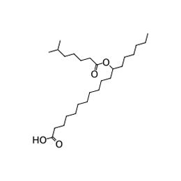 CCCCCCC(CCCCCCCCCCC(=O)O)OC(=O)CCCCC(C)C